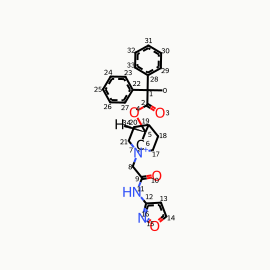 CC(C(=O)O[C@H]1C[N+]2(CC(=O)Nc3ccon3)CCC1CC2)(c1ccccc1)c1ccccc1